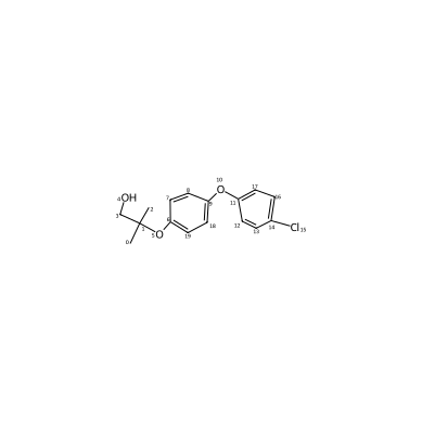 CC(C)(CO)Oc1ccc(Oc2ccc(Cl)cc2)cc1